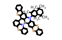 Cc1cc2c(cc1N1c3cc4c(cc3B3c5c1cc1c(sc6ccccc61)c5-c1cccc5c1N3c1ccccc1S5)Sc1ccccc1S4)C(C)(C)CCC2(C)C